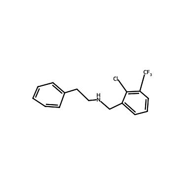 FC(F)(F)c1cccc(CNCCc2ccccc2)c1Cl